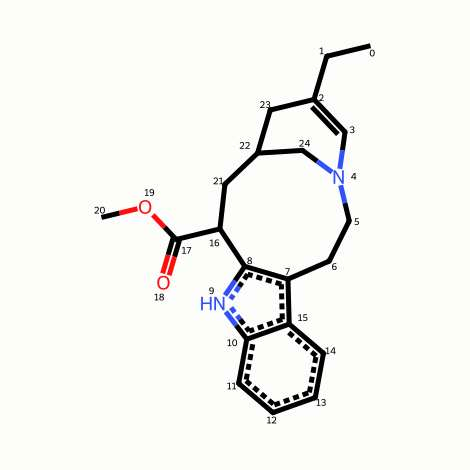 CCC1=CN2CCc3c([nH]c4ccccc34)C(C(=O)OC)CC(C1)C2